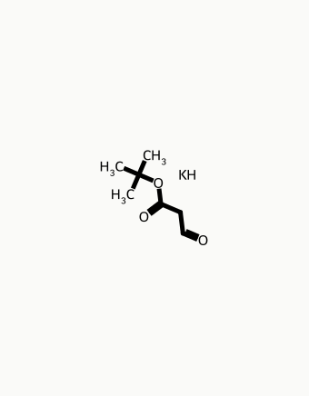 CC(C)(C)OC(=O)CC=O.[KH]